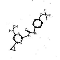 O=C(Nc1ccc(OC(F)(F)F)cc1)Nc1nc(NO)cc(C2CC2)n1